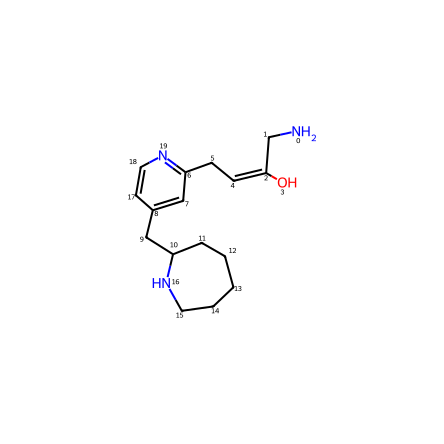 NC/C(O)=C\Cc1cc(CC2CCCCCN2)ccn1